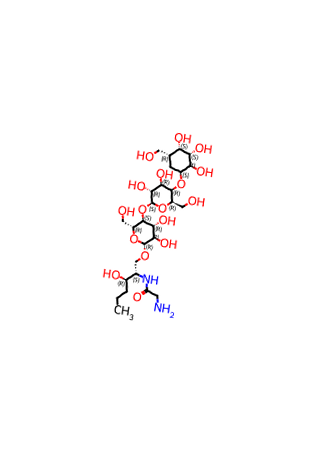 CCC[C@@H](O)[C@H](CO[C@@H]1O[C@H](CO)[C@@H](O[C@@H]2O[C@H](CO)[C@H](O[C@H]3C[C@H](CO)[C@H](O)[C@H](O)[C@H]3O)[C@H](O)[C@H]2O)[C@H](O)[C@H]1O)NC(=O)CN